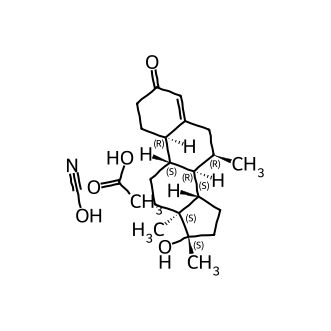 CC(=O)O.C[C@@H]1CC2=CC(=O)CC[C@@H]2[C@H]2CC[C@@]3(C)[C@@H](CC[C@]3(C)O)[C@@H]21.N#CO